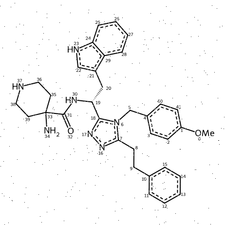 COc1ccc(Cn2c(CCc3ccccc3)nnc2[C@@H](Cc2c[nH]c3ccccc23)NC(=O)C2(N)CCNCC2)cc1